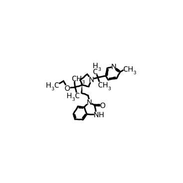 CCOC(C)(C)[C@]1(CCn2c(=O)[nH]c3ccccc32)CCN(C(C)(C)c2ccc(C)nc2)C1